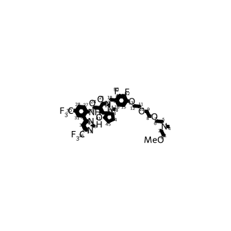 COCCN(C)CCOCCOCCOc1ccc(CN2C(=O)C(C(=O)Nc3ccc(C(F)(F)F)cc3-c3cc(C(F)(F)F)ncn3)=C(O)C3(CCCC3)N2C)c(F)c1F